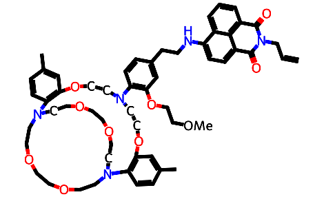 C=CCN1C(=O)c2cccc3c(NCCc4ccc(N5CCOc6cc(C)ccc6N6CCOCCOCCN(CCOCCOCC6)c6ccc(C)cc6OCC5)c(OCCOC)c4)ccc(c23)C1=O